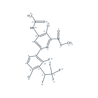 COC(=O)c1nc(-c2ccc(Cl)c(C(F)C(F)(F)F)c2F)cc(NC(C)=O)c1Cl